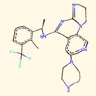 Cc1c([C@@H](C)NC2=NC3=NCCN3c3cnc(N4CCNCC4)cc32)cccc1C(F)(F)F